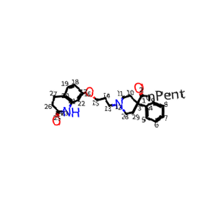 CCCCCC(=O)C1(c2ccccc2)CCN(CCCOc2ccc3c(c2)NC(=O)CC3)CC1